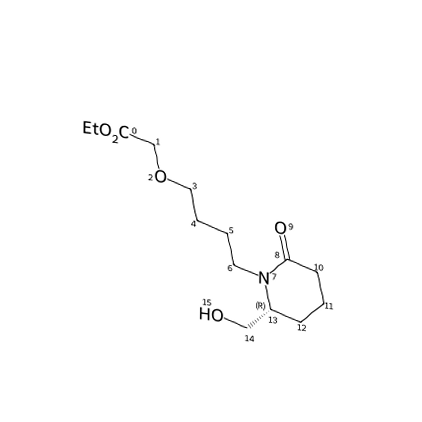 CCOC(=O)COCCCCN1C(=O)CCC[C@@H]1CO